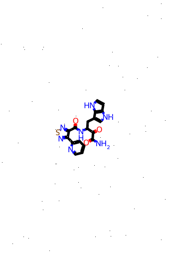 NC(=O)C(=O)C(Cc1c[nH]c2cc[nH]c12)NC(=O)c1nsnc1-c1ccccn1